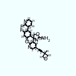 CC1(C#Cc2cnc3c(c2)C2(COC(N)=N2)c2cc(-c4cccnc4F)c(F)cc2O3)COC1